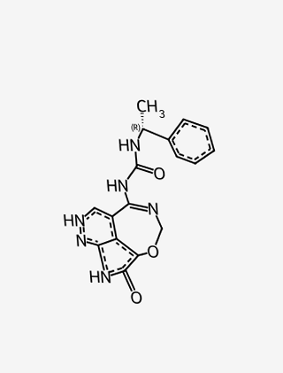 C[C@@H](NC(=O)NC1=NCOc2c3c1c[nH]nc-3[nH]c2=O)c1ccccc1